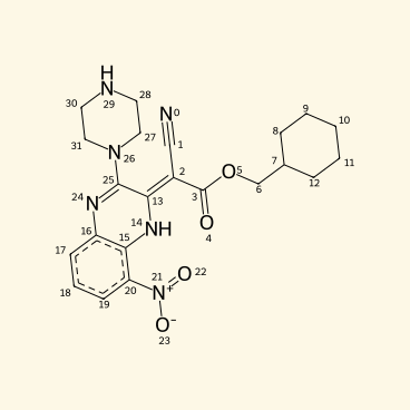 N#CC(C(=O)OCC1CCCCC1)=C1Nc2c(cccc2[N+](=O)[O-])N=C1N1CCNCC1